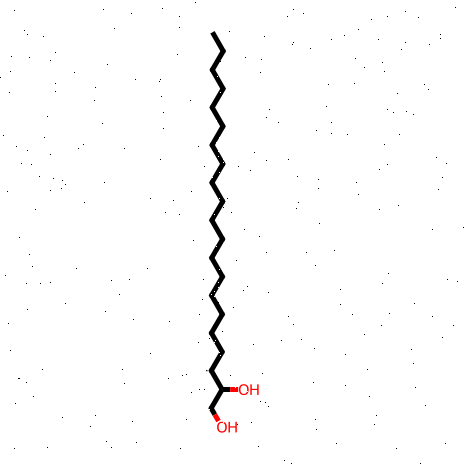 CCCCCCCCCCCCCCCCCC[CH]C(O)CO